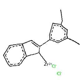 Cc1cc(C)cc(C2=Cc3ccccc3[CH]2[Zr+2])c1.[Cl-].[Cl-]